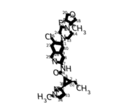 CC[C@@H]1[C@@H](C(=O)Nc2cc3cc(N4CCN([C@@]5(C)COC[C@H]5F)CC4)c(Cl)cc3cn2)[C@@H]1c1ccn(C)n1